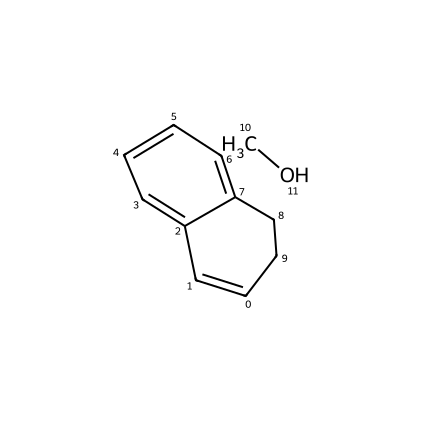 C1=Cc2ccccc2CC1.CO